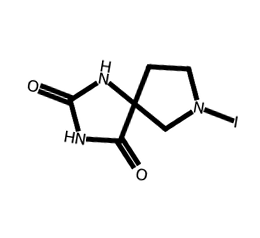 O=C1NC(=O)C2(CCN(I)C2)N1